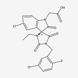 CCN1C(=O)N(Cc2cc(Cl)ccc2F)C(=O)[C@]12C(=O)N(CC(=O)O)c1ccc(Cl)cc12